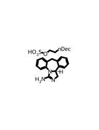 CCCCCCCCCCCCOS(=O)(=O)O.NC1=NC[C@@H]2c3ccccc3Cc3ccccc3N12